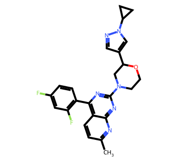 Cc1ccc2c(-c3ccc(F)cc3F)nc(N3CCOC(c4cnn(C5CC5)c4)C3)nc2n1